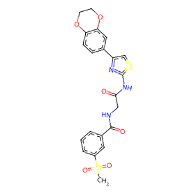 CS(=O)(=O)c1cccc(C(=O)NCC(=O)Nc2nc(-c3ccc4c(c3)OCCO4)cs2)c1